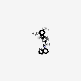 Cc1cc(C)c2[nH]c3nc(N/N=C4\CCCc5cccnc54)nnc3c2c1